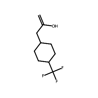 C=C(O)CC1CCC(C(F)(F)F)CC1